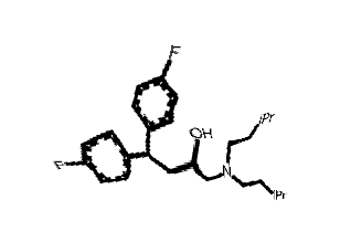 CC(C)CCN(CCC(C)C)CC(O)CC(c1ccc(F)cc1)c1ccc(F)cc1